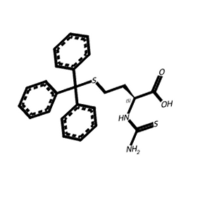 NC(=S)N[C@@H](CCSC(c1ccccc1)(c1ccccc1)c1ccccc1)C(=O)O